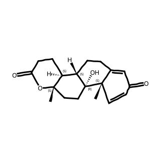 C[C@]12C=CC(=O)C=C1CC[C@H]1[C@@H]3CCC(=O)O[C@@]3(C)CC[C@@]12O